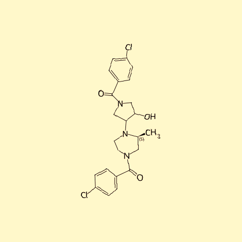 C[C@H]1CN(C(=O)c2ccc(Cl)cc2)CCN1C1CN(C(=O)c2ccc(Cl)cc2)CC1O